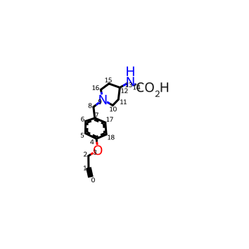 C#CCOc1ccc(CN2CCC(NC(=O)O)CC2)cc1